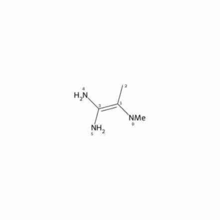 CNC(C)=C(N)N